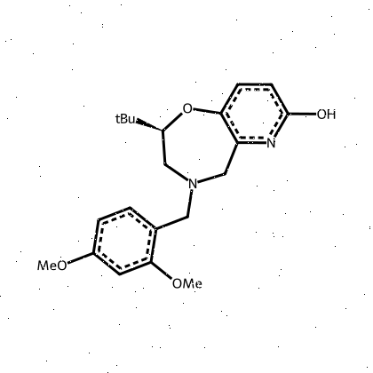 COc1ccc(CN2Cc3nc(O)ccc3O[C@H](C(C)(C)C)C2)c(OC)c1